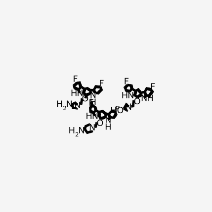 NC1CCN(CCOc2c3[nH]c4ccc(F)cc4c3cc3c2[nH]c2ccc(F)cc23)CC1.N[C@H]1CCN(CCOc2c3[nH]c4ccc(F)cc4c3cc3c2[nH]c2ccc(F)cc23)C1.OC1CN(CCOc2c3[nH]c4ccc(F)cc4c3cc3c2[nH]c2ccc(F)cc23)C1